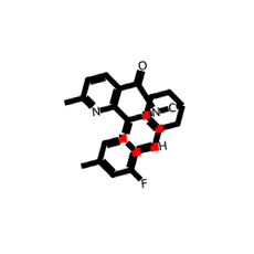 Cc1cnc(NC2CC3CCC2N(C(=O)c2ccc(C)nc2-c2ncccn2)C3)c(F)c1